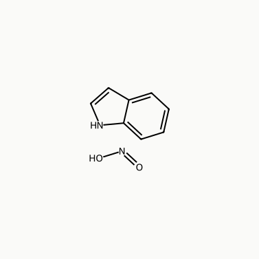 O=NO.c1ccc2[nH]ccc2c1